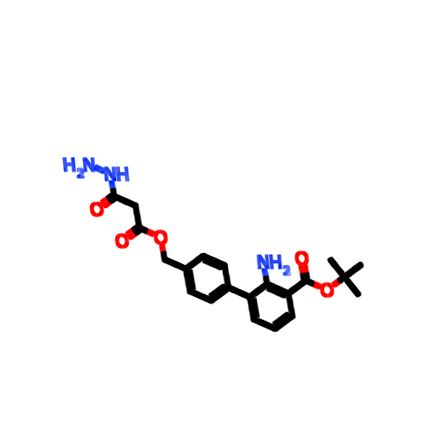 CC(C)(C)OC(=O)c1cccc(-c2ccc(COC(=O)CC(=O)NN)cc2)c1N